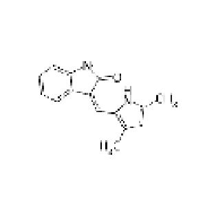 Cc1cc(C)c(/C=C2\C(=O)[N]c3ccccc32)[nH]1